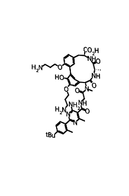 Cc1cc(C(C)(C)C)ccc1-c1nc(C)c(C(=O)NCC(=O)N(C)[C@@H]2C(=O)N[C@@H](C)C(=O)N[C@H](C(=O)O)Cc3ccc(OCCCN)c(c3)-c3cc2cc(OCCCN)c3O)c(N)n1